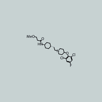 COCCC(=O)N[C@H]1CC[C@H](CCN2CCC(Oc3c(Cl)cc(F)cc3Cl)CC2)CC1